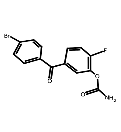 NC(=O)Oc1cc(C(=O)c2ccc(Br)cc2)ccc1F